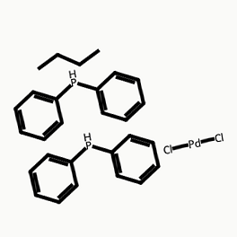 CCCC.[Cl][Pd][Cl].c1ccc(Pc2ccccc2)cc1.c1ccc(Pc2ccccc2)cc1